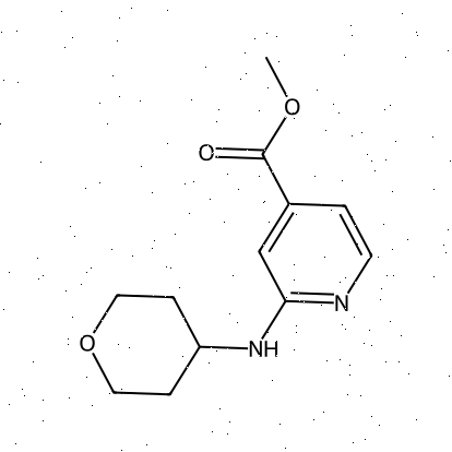 COC(=O)c1ccnc(NC2CCOCC2)c1